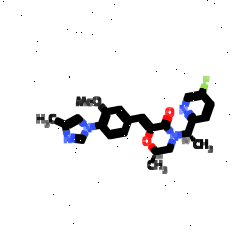 COc1cc(C=C2O[C@@H](C)CN([C@@H](C)c3ccc(F)cn3)C2=O)ccc1-n1cnc(C)c1